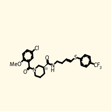 COc1ccc(Cl)cc1C(=O)N1CCC[C@H](C(=O)NCCC=CSc2ccc(C(F)(F)F)cc2)C1